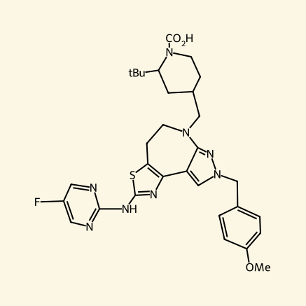 COc1ccc(Cn2cc3c(n2)N(CC2CCN(C(=O)O)C(C(C)(C)C)C2)CCc2sc(Nc4ncc(F)cn4)nc2-3)cc1